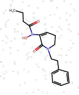 CCCC(=O)N(O)C1=CCCN(CCc2ccccc2)C1=O